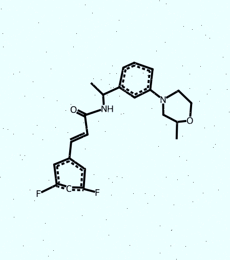 CC1CN(c2cccc(C(C)NC(=O)C=Cc3cc(F)cc(F)c3)c2)CCO1